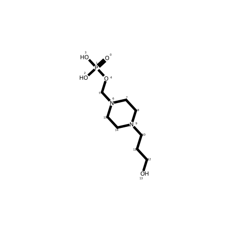 O=P(O)(O)OCN1CCN(CCCO)CC1